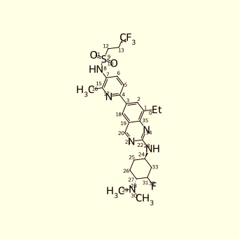 CCc1cc(-c2ccc(NS(=O)(=O)CCC(F)(F)F)c(C)n2)cc2cnc(N[C@@H]3CC[C@@H](N(C)C)C(F)C3)nc12